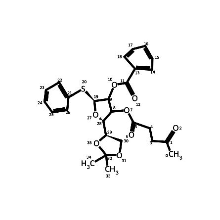 CC(=O)CCC(=O)OC1C(OC(=O)c2ccccc2)[C@H](Sc2ccccc2)O[C@H]1[C@H]1COC(C)(C)O1